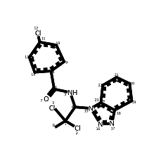 CC(Cl)(Cl)C(NC(=O)c1ccc(Cl)cc1)n1nnc2ccccc21